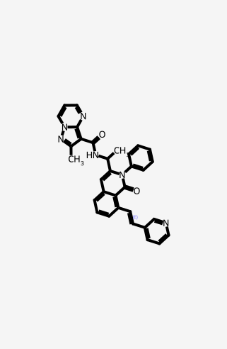 Cc1nn2cccnc2c1C(=O)NC(C)c1cc2cccc(/C=C/c3cccnc3)c2c(=O)n1-c1ccccc1